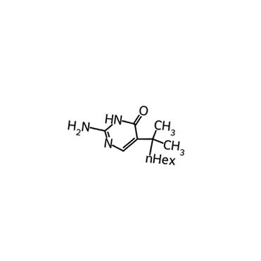 CCCCCCC(C)(C)c1cnc(N)[nH]c1=O